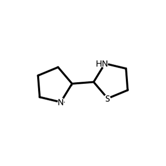 C1C[N][C](C2NCCS2)C1